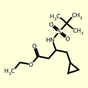 CCOC(=O)CC(CC1CC1)NS(=O)(=O)C(C)(C)C